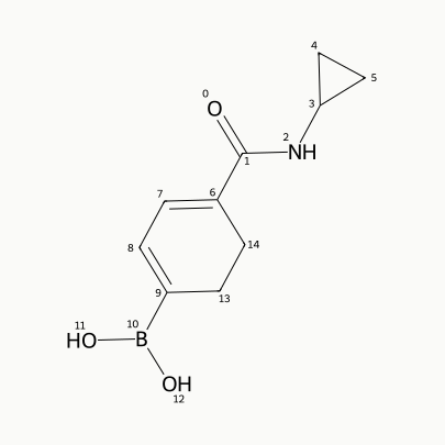 O=C(NC1CC1)C1=CC=C(B(O)O)CC1